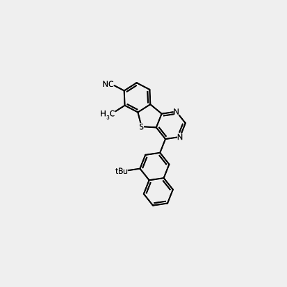 Cc1c(C#N)ccc2c1sc1c(-c3cc(C(C)(C)C)c4ccccc4c3)ncnc12